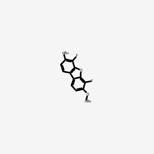 CCCCOc1ccc2c(oc3c(F)c(CCCC)ccc32)c1F